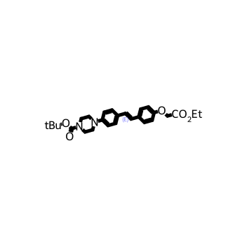 CCOC(=O)COc1ccc(/C=C/c2ccc(N3CCN(C(=O)OC(C)(C)C)CC3)cc2)cc1